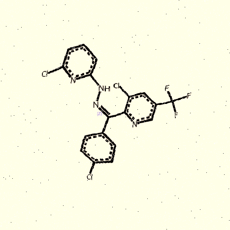 FC(F)(F)c1cnc(/C(=N\Nc2cccc(Cl)n2)c2ccc(Cl)cc2)c(Cl)c1